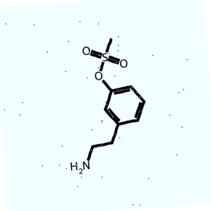 CS(=O)(=O)Oc1cccc(CCN)c1